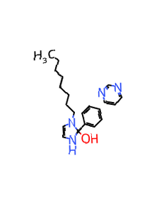 CCCCCCCCN1C=CNC1(O)c1ccccc1.c1cncnc1